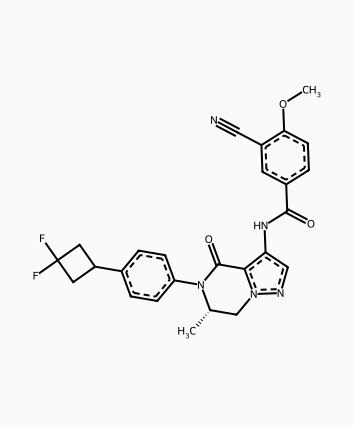 COc1ccc(C(=O)Nc2cnn3c2C(=O)N(c2ccc(C4CC(F)(F)C4)cc2)[C@@H](C)C3)cc1C#N